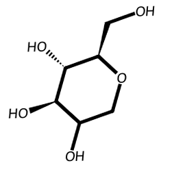 OC[C@H]1OCC(O)[C@@H](O)[C@@H]1O